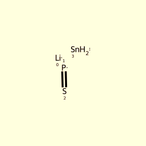 [Li].[P]=S.[SnH2]